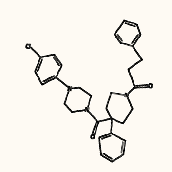 O=C(CCc1ccccc1)N1CCC(C(=O)N2CCN(c3ccc(Cl)cc3)CC2)(c2ccccc2)CC1